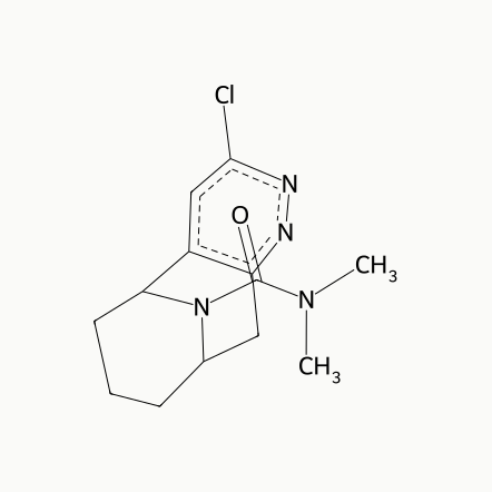 CN(C)C(=O)N1C2CCCC1c1cc(Cl)nnc1C2